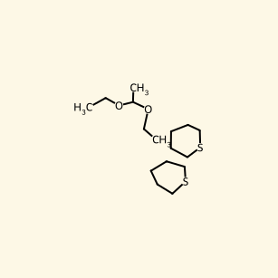 C1CCSCC1.C1CCSCC1.CCOC(C)OCC